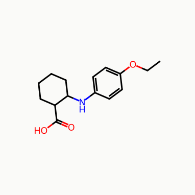 CCOc1ccc(NC2CCCCC2C(=O)O)cc1